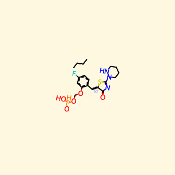 CCCC.O=C1N=C(N2CCCCN2)S/C1=C\c1ccc(F)cc1OCO[PH](=O)O